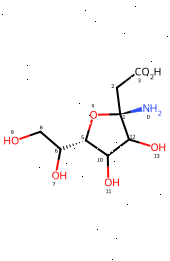 N[C@]1(CC(=O)O)O[C@@H](C(O)CO)C(O)C1O